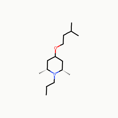 CCCN1[C@H](C)CC(OCCC(C)C)C[C@@H]1C